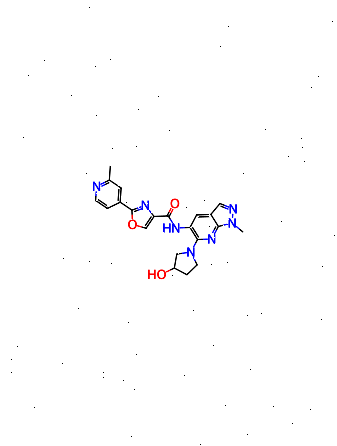 Cc1cc(-c2nc(C(=O)Nc3cc4cnn(C)c4nc3N3CCC(O)C3)co2)ccn1